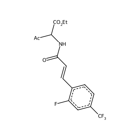 CCOC(=O)C(NC(=O)/C=C/c1ccc(C(F)(F)F)cc1F)C(C)=O